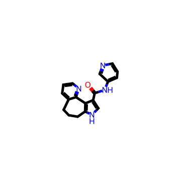 O=C(Nc1cccnc1)c1c[nH]c2c1-c1ncccc1CCC2